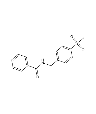 CS(=O)(=O)c1ccc(CNC(=O)c2ccccc2)cc1